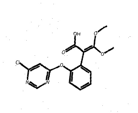 COC(OC)=C(C(=O)O)c1ccccc1Oc1cc(Cl)ncn1